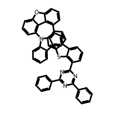 c1ccc(-c2nc(-c3ccccc3)nc(-c3cccc4c3sc3ccc(-c5cccc6oc7cccc(-n8c9ccccc9c9ccccc98)c7c56)cc34)n2)cc1